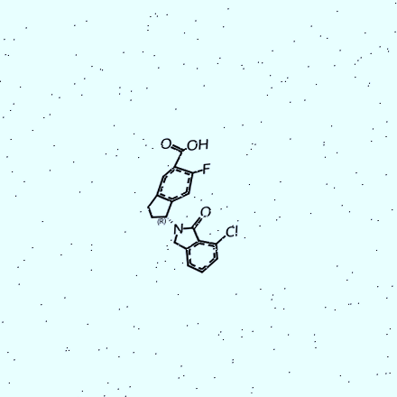 O=C(O)c1cc2c(cc1F)[C@H](N1Cc3cccc(Cl)c3C1=O)CC2